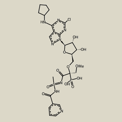 COC[C@@](OC[C@H]1O[C@@H](n2ncc3c(NC4CCCC4)nc(Cl)nc32)[C@H](O)[C@@H]1O)(C(=O)N=S(C)(=O)NC(=O)c1cccnc1)P(=O)(O)O